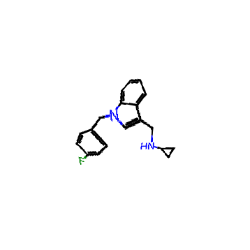 Fc1ccc(Cn2cc(CNC3CC3)c3ccccc32)cc1